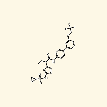 CCC(C(=O)Nc1ccc(-c2cncc(OCC(F)(F)F)c2)cc1)c1csc(NS(=O)(=O)C2CC2)n1